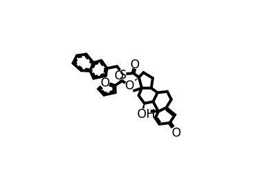 CC12C=CC(=O)C=C1CCC1C2[C@@H](O)CC2(C)C1CC[C@]2(OC(=O)c1ccco1)C(=O)SCc1ccc2ccccc2c1